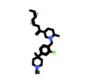 C=C(C/C=C\C=C/C)C1CCC(C)N(Cc2ccc(C3(C)CCN(CC)CC3)cc2F)C1